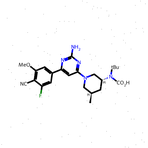 COc1cc(-c2cc(N3C[C@H](C)C[C@@H](N(C(=O)O)C(C)(C)C)C3)nc(N)n2)cc(F)c1C#N